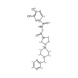 O=C(NCC(=O)N1CCC(N2CCC(Cc3ccccc3)CC2)C1)c1ccc(Cl)c(Cl)c1